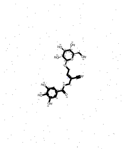 N#C/C(=C\CO[C@@H]1O[C@H](CO)[C@@H](O)[C@H](O)[C@H]1O)COC(=O)c1cc(O)c(O)c(O)c1